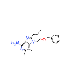 CCCc1nc2c(N)nc(C)c(C)c2n1CCOCc1ccccc1